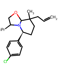 C=CCC1(C)CC[C@@H](c2ccc(Cl)cc2)N2C(C(C)C)COC21